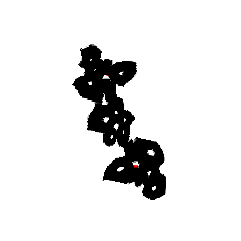 CC1(C)c2ccccc2-c2cccc(N(c3ccccc3)c3cc4c5c(ccc6cc(N(c7ccccc7-c7ccccc7)c7cccc8c7C(C)(C)c7ccccc7-8)c7cccc(c7c65)O4)c3)c21